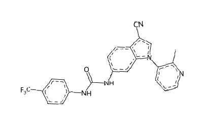 Cc1ncccc1-n1cc(C#N)c2ccc(NC(=O)Nc3ccc(C(F)(F)F)cc3)cc21